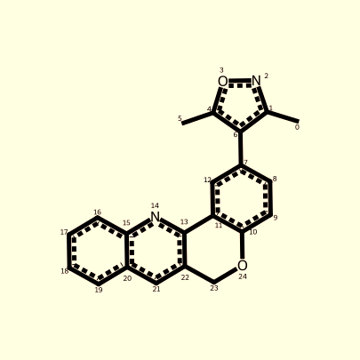 Cc1noc(C)c1-c1ccc2c(c1)-c1nc3ccccc3cc1CO2